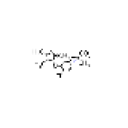 C/C(=C\c1ccc(Cl)c(Oc2c(C)c(C)nn2C)c1)C(=O)O